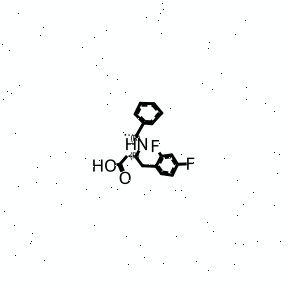 C[C@@H](N[C@@H](CC(=O)O)Cc1ccc(F)cc1F)c1ccccc1